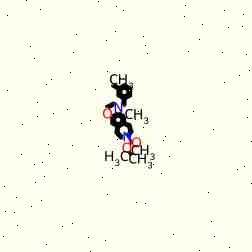 CCc1cccc(CN2CCOc3cc4c(c(C)c32)CCN(C(=O)OC(C)(C)C)CC4)c1